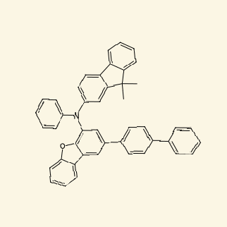 CC1(C)c2ccccc2-c2ccc(N(c3ccccc3)c3cc(-c4ccc(-c5ccccc5)cc4)cc4c3oc3ccccc34)cc21